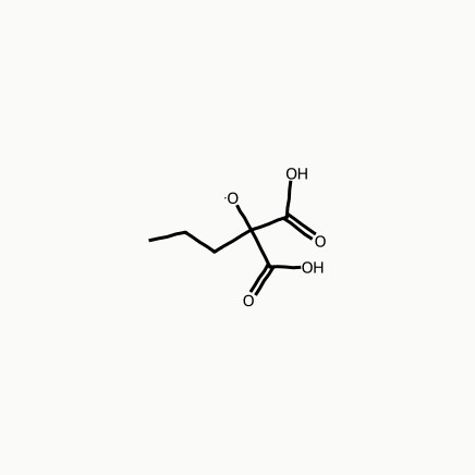 CCCC([O])(C(=O)O)C(=O)O